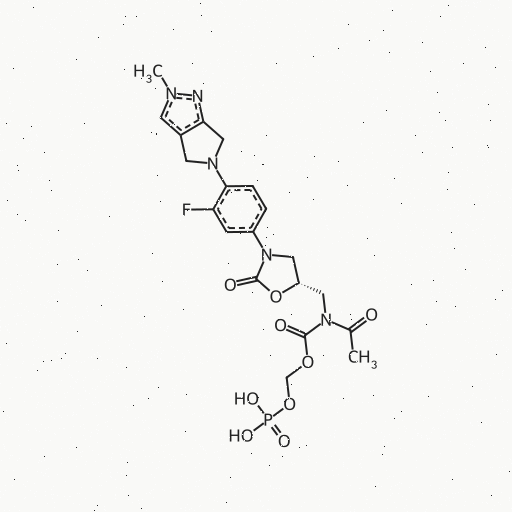 CC(=O)N(C[C@H]1CN(c2ccc(N3Cc4cn(C)nc4C3)c(F)c2)C(=O)O1)C(=O)OCOP(=O)(O)O